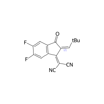 CC(C)(C)/C=C1\C(=O)c2cc(F)c(F)cc2C1=C(C#N)C#N